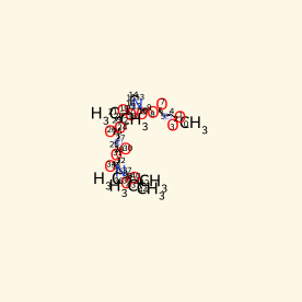 COC(=O)/C=C/C(=O)OCC(=O)N1CCCC1C(=O)OC(C)(C)COC(=O)/C=C/C(=O)OCC(=O)N(C)CC(=O)OC(C)(C)C